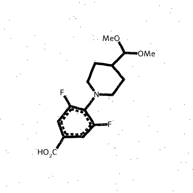 COC(OC)C1CCN(c2c(F)cc(C(=O)O)cc2F)CC1